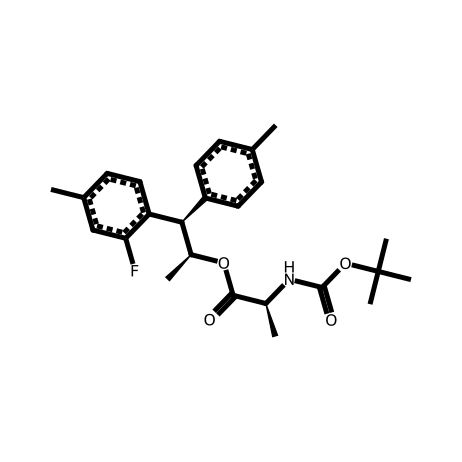 Cc1ccc([C@H](c2ccc(C)cc2F)[C@H](C)OC(=O)[C@H](C)NC(=O)OC(C)(C)C)cc1